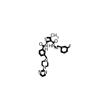 Cc1csc(NC(=O)c2cccc(CN3CCN(c4ncccn4)CC3)c2)c1C(=O)N/N=C/c1cccc(F)c1